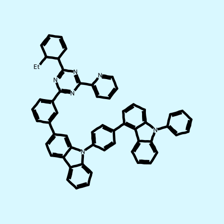 CCC1C=CC=CC1c1nc(-c2cccc(-c3ccc4c5ccccc5n(-c5ccc(-c6cccc7c6c6ccccc6n7-c6ccccc6)cc5)c4c3)c2)nc(-c2ccccn2)n1